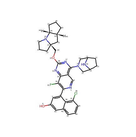 Oc1cc(-c2ncc3c(N4CC5CCC(C4)N5)nc(OC[C@@]45CCCN4[C@@H]4CCC[C@@H]4C5)nc3c2F)c2c(Cl)cccc2c1